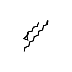 C=CCCCCCCCCCC.CCCCC=C1CC1